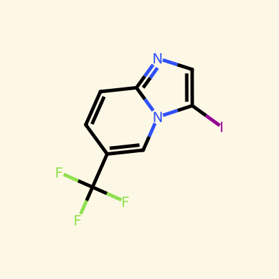 FC(F)(F)c1ccc2ncc(I)n2c1